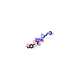 NC(=O)c1c(OCc2cc3c(cc2F)CCO3)nsc1NC(=O)NCCCCN1CC[C@H](F)C1